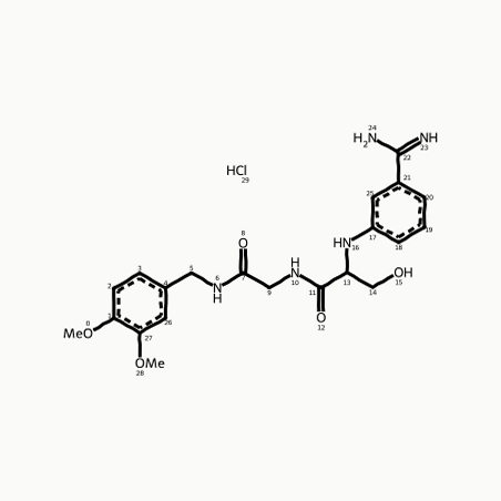 COc1ccc(CNC(=O)CNC(=O)C(CO)Nc2cccc(C(=N)N)c2)cc1OC.Cl